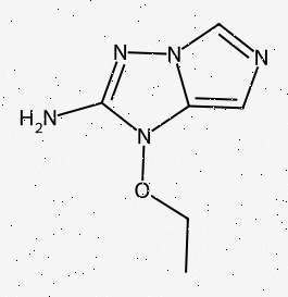 CCOn1c(N)nn2cncc12